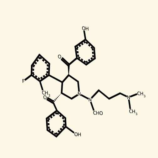 Cc1c(F)cccc1C1[C@@H](C(=O)c2cccc(O)c2)CN(N(C=O)CCCN(C)C)C[C@@H]1C(=O)c1cccc(O)c1